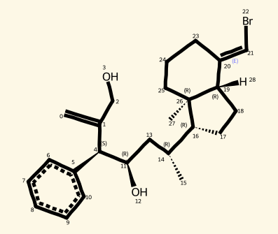 C=C(CO)[C@H](c1ccccc1)[C@H](O)C[C@@H](C)[C@H]1CC[C@H]2/C(=C/Br)CCC[C@]12C